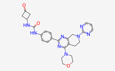 O=C1CC(NC(=O)Nc2ccc(-c3nc4c(c(N5CCOCC5)n3)CCN(c3ncccn3)C4)cc2)C1